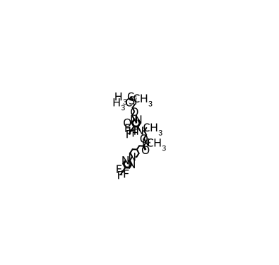 CC(CON(C)C(=O)CC1CCN(c2ncc(C(F)(F)F)cn2)CC1)Nc1cnn(COCC[Si](C)(C)C)c(=O)c1C(F)(F)F